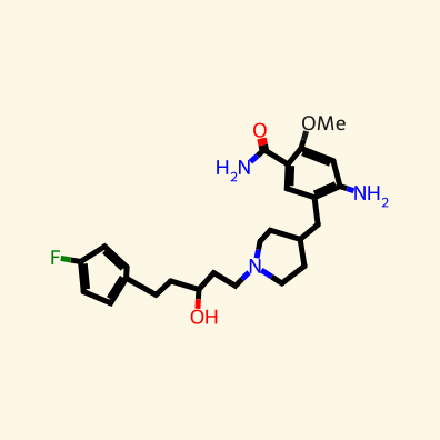 COc1cc(N)c(CC2CCN(CCC(O)CCc3ccc(F)cc3)CC2)cc1C(N)=O